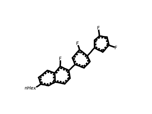 CCCCCCc1ccc2c(F)c(-c3ccc(-c4cc(F)cc(F)c4)c(F)c3)ccc2c1